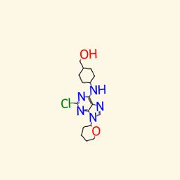 OCC1CCC(Nc2nc(Cl)nc3c2ncn3C2CCCCO2)CC1